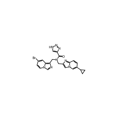 O=C(c1c[nH]nn1)N(Cc1cn2cc(C3CC3)ccc2n1)Cc1ncn2ccc(Br)cc12